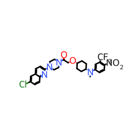 CN(c1ccc([N+](=O)[O-])c(C(F)(F)F)c1)[C@H]1CC[C@H](OCC(=O)N2CCN(c3ccc4cc(Cl)ccc4n3)CC2)CC1